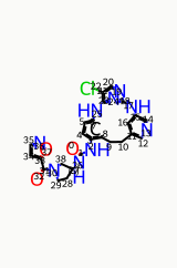 O=C(Nc1ccc2cc1CCc1cncc(c1)Nc1ncc(Cl)c(n1)N2)N[C@H]1CCN(C(=O)c2ccno2)C1